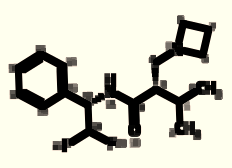 CC(C)[C@@H](CN1CCC1)C(=O)N[C@@H](c1ccccc1)C(F)F